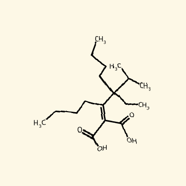 CCCCC(=C(C(=O)O)C(=O)O)C(CC)(CCCC)C(C)C